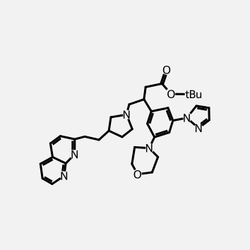 CC(C)(C)OC(=O)CC(CN1CCC(CCc2ccc3cccnc3n2)C1)c1cc(N2CCOCC2)cc(-n2cccn2)c1